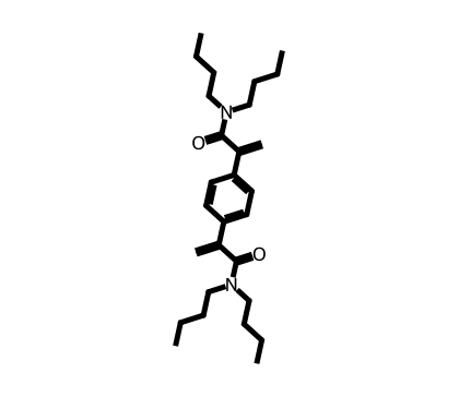 C=C(C(=O)N(CCCC)CCCC)c1ccc(C(=C)C(=O)N(CCCC)CCCC)cc1